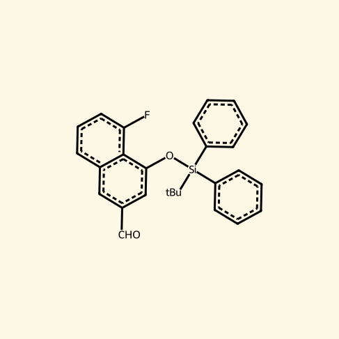 CC(C)(C)[Si](Oc1cc(C=O)cc2cccc(F)c12)(c1ccccc1)c1ccccc1